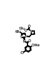 COc1ccc(Cl)cc1C(=O)N=c1sc(C(C)(C)C)cn1CC1CCN1C(=O)OC(C)(C)C